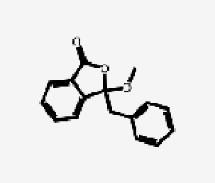 COC1(Cc2ccccc2)OC(=O)c2ccccc21